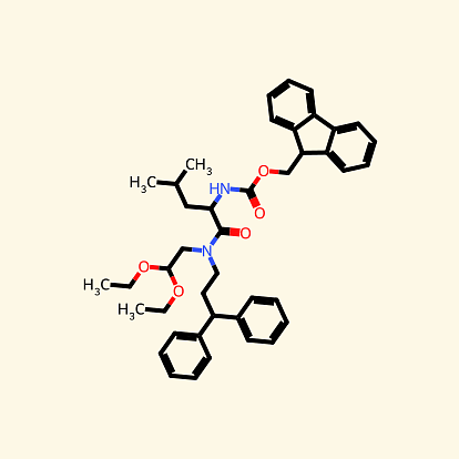 CCOC(CN(CCC(c1ccccc1)c1ccccc1)C(=O)C(CC(C)C)NC(=O)OCC1c2ccccc2-c2ccccc21)OCC